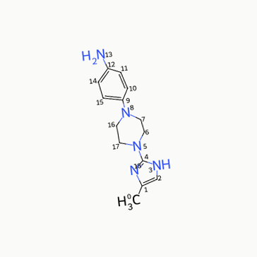 Cc1c[nH]c(N2CCN(c3ccc(N)cc3)CC2)n1